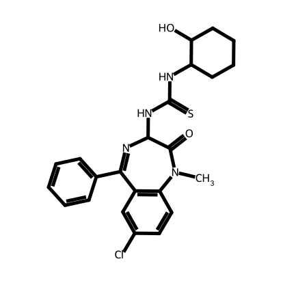 CN1C(=O)C(NC(=S)NC2CCCCC2O)N=C(c2ccccc2)c2cc(Cl)ccc21